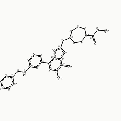 Cn1cc(-c2cccc(NCc3ccccn3)c2)c2sc(CN3CCCN(C(=O)OC(C)(C)C)CC3)cc2c1=O